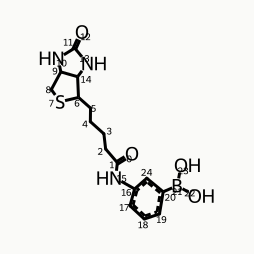 O=C(CCCCC1SCC2NC(=O)NC21)Nc1cccc(B(O)O)c1